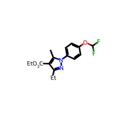 CCOC(=O)c1c(CC)nn(-c2ccc(OC(F)F)cc2)c1C